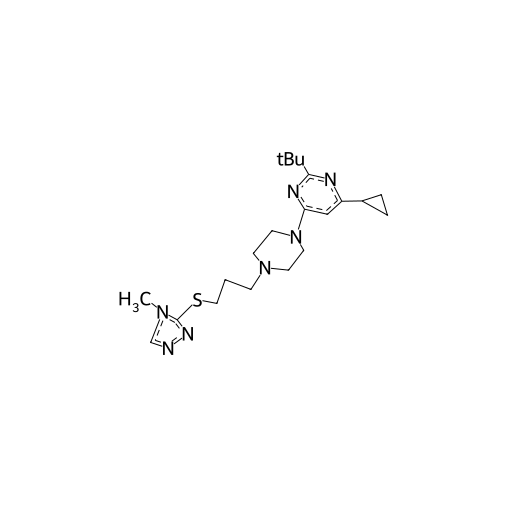 Cn1cnnc1SCCCN1CCN(c2cc(C3CC3)nc(C(C)(C)C)n2)CC1